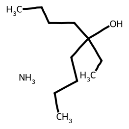 CCCCC(O)(CC)CCCC.N